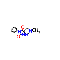 CN1CCC2(CC1)NC(=O)N(c1ccccc1)C2=O